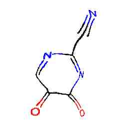 N#CC1=NC(=O)C(=O)C=N1